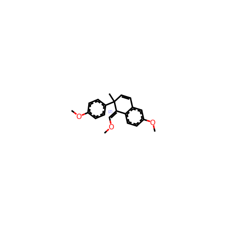 CO/C=C1\c2ccc(OC)cc2C=CC1(C)c1ccc(OC)cc1